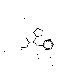 CCC(C)N(Sc1ccccc1)C1CCCC1